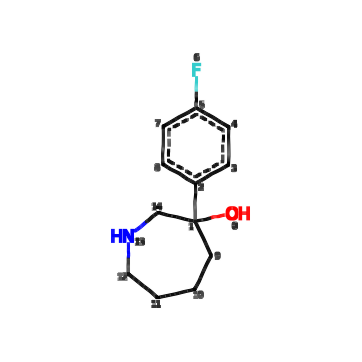 OC1(c2ccc(F)cc2)CCCCNC1